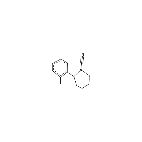 Cc1ccccc1C1CCCCN1C#N